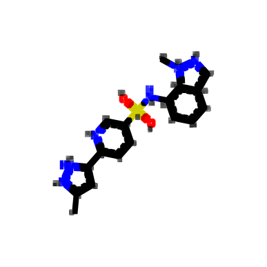 Cc1cc(-c2ccc(S(=O)(=O)Nc3cccc4cnn(C)c34)cn2)[nH]n1